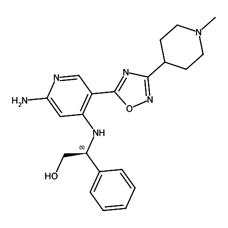 CN1CCC(c2noc(-c3cnc(N)cc3N[C@H](CO)c3ccccc3)n2)CC1